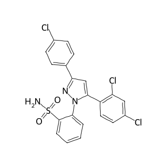 NS(=O)(=O)c1ccccc1-n1nc(-c2ccc(Cl)cc2)cc1-c1ccc(Cl)cc1Cl